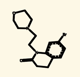 O=C1CCc2ccc(Br)cc2N1CCN1CCOCC1